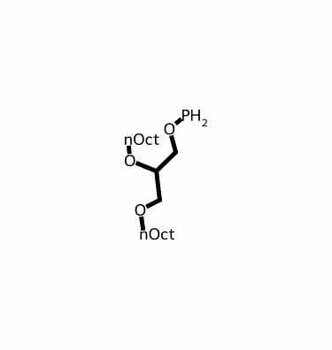 CCCCCCCCOCC(COP)OCCCCCCCC